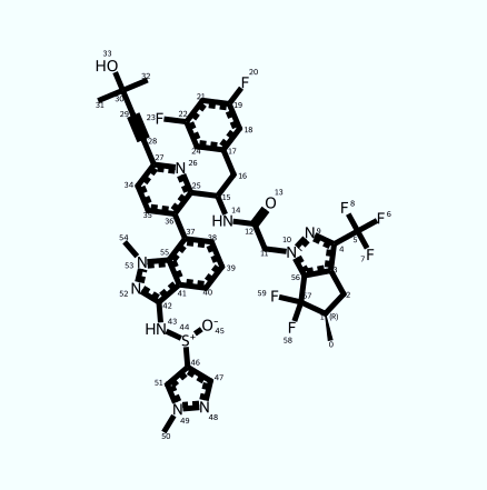 C[C@@H]1Cc2c(C(F)(F)F)nn(CC(=O)NC(Cc3cc(F)cc(F)c3)c3nc(C#CC(C)(C)O)ccc3-c3cccc4c(N[S+]([O-])c5cnn(C)c5)nn(C)c34)c2C1(F)F